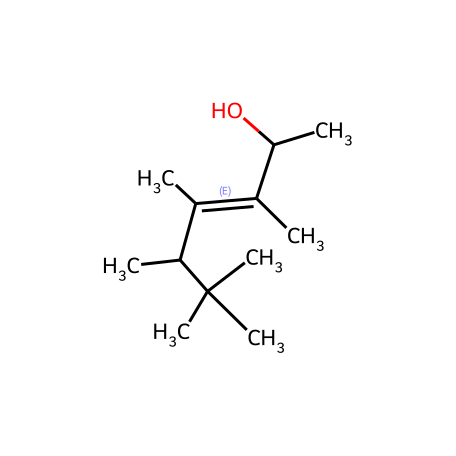 C/C(=C(/C)C(C)C(C)(C)C)C(C)O